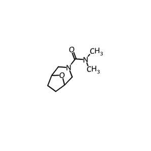 CN(C)C(=O)N1CC2CCC(C1)O2